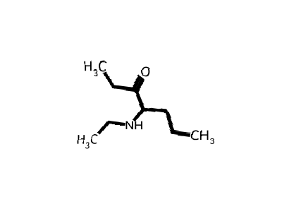 CCCC(NCC)C(=O)CC